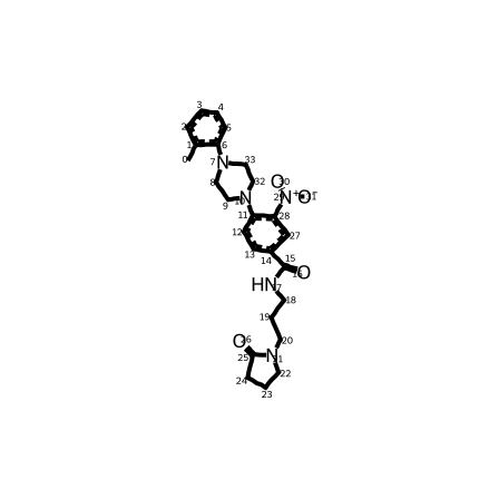 Cc1ccccc1N1CCN(c2ccc(C(=O)NCCCN3CCCC3=O)cc2[N+](=O)[O-])CC1